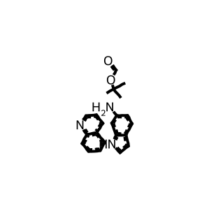 CC(C)(C)OC=O.Nc1ccc2cc[nH]c2c1.c1ccc2ncccc2c1